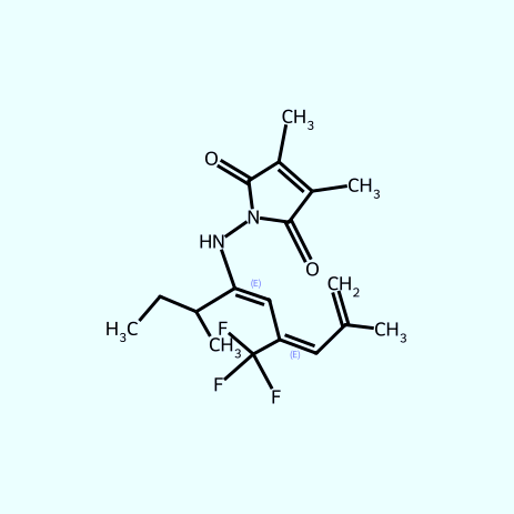 C=C(C)/C=C(\C=C(\NN1C(=O)C(C)=C(C)C1=O)C(C)CC)C(F)(F)F